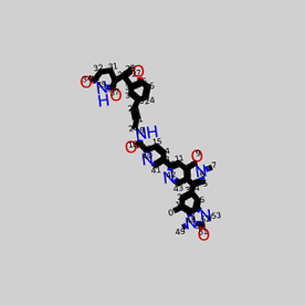 Cc1cc(-c2cn(C)c(=O)c3cc(-c4ccc(C(=O)NCC#Cc5ccc6occ(C7CCC(=O)NC7=O)c6c5)nc4)ncc23)cc2c1n(C)c(=O)n2C